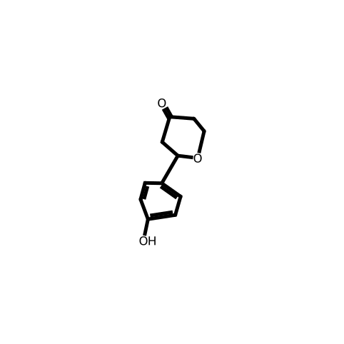 O=C1CCOC(c2ccc(O)cc2)C1